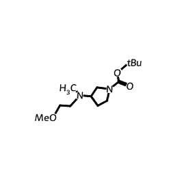 COCCN(C)C1CCN(C(=O)OC(C)(C)C)C1